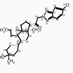 CCC[C@H]1[C@@H]2CC[C@H](C(=O)Cn3nc4ccc(Cl)cc4n3)[C@@]2(C)CC[C@@H]1[C@H]1CC[C@@](C)(O)CC1